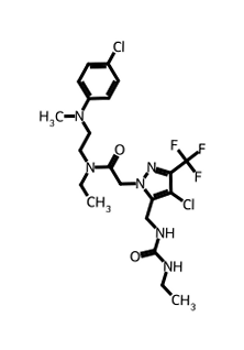 CCNC(=O)NCc1c(Cl)c(C(F)(F)F)nn1CC(=O)N(CC)CCN(C)c1ccc(Cl)cc1